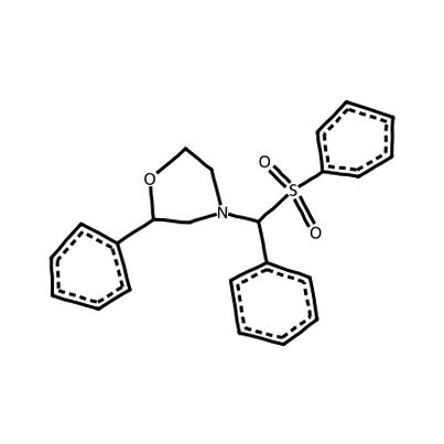 O=S(=O)(c1ccccc1)C(c1ccccc1)N1CCOC(c2ccccc2)C1